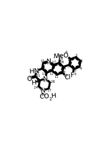 COc1cccc(F)c1-c1c(Cl)cc2c3c(cnc2c1F)NC(=O)[C@H]1CN(C(=O)O)CCN31